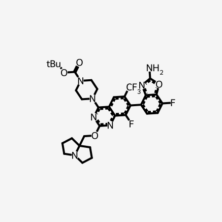 CC(C)(C)OC(=O)N1CCN(c2nc(OCC34CCCN3CCC4)nc3c(F)c(-c4ccc(F)c5oc(N)nc45)c(C(F)(F)F)cc23)CC1